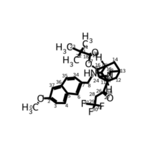 COc1ccc2cc(CNC3[C@@H]4CC5C[C@H]3[C@H](OC(=O)C(C)(C)C)C4N(C(=O)CC(F)(F)F)C5)ccc2c1